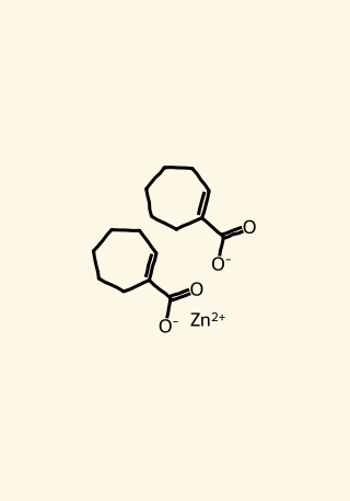 O=C([O-])C1=CCCCCC1.O=C([O-])C1=CCCCCC1.[Zn+2]